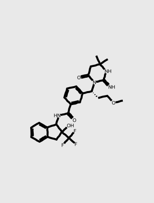 COCC[C@H](c1cccc(C(=O)NC2c3ccccc3CC2(O)C(F)(F)F)c1)N1C(=N)NC(C)(C)CC1=O